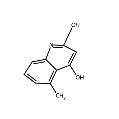 Cc1cccc2nc(O)cc(O)c12